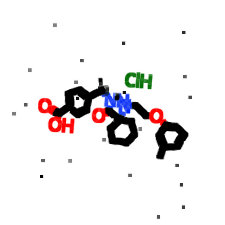 Cc1cccc(OCCN(C)C2(C(=O)N[C@@H](C)c3ccc(C(=O)O)cc3)CCCCC2)c1.Cl